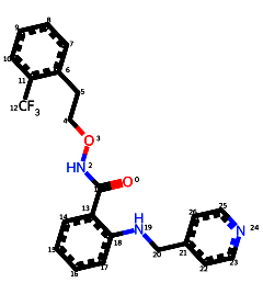 O=C(NOCCc1ccccc1C(F)(F)F)c1ccccc1NCc1ccncc1